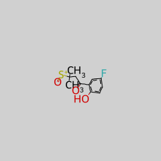 CC(C)(CC(=O)c1cc(F)ccc1O)[S+]=O